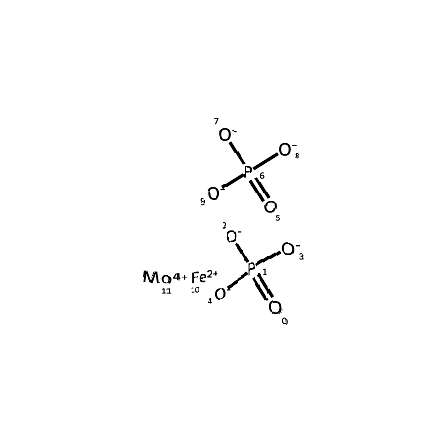 O=P([O-])([O-])[O-].O=P([O-])([O-])[O-].[Fe+2].[Mo+4]